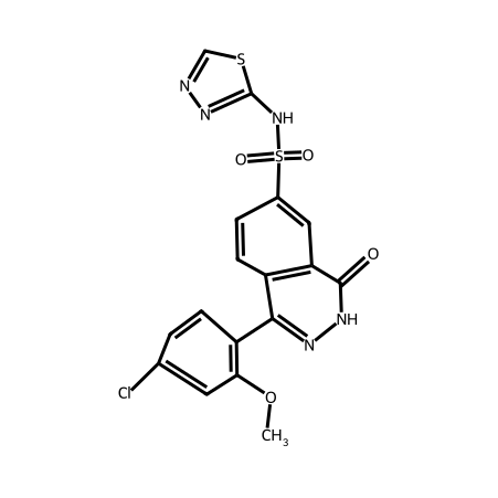 COc1cc(Cl)ccc1-c1n[nH]c(=O)c2cc(S(=O)(=O)Nc3nncs3)ccc12